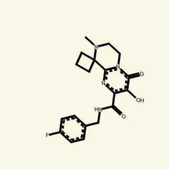 CN1CCn2c(nc(C(=O)NCc3ccc(F)cc3)c(O)c2=O)C12CCC2